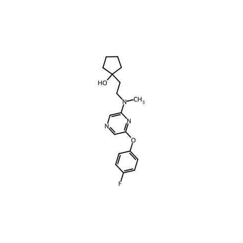 CN(CCC1(O)CCCC1)c1cncc(Oc2ccc(F)cc2)n1